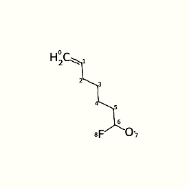 C=CCCCCC([O])F